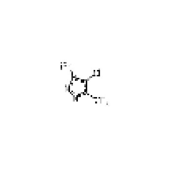 CC(C)n1nnc(C(F)(F)F)c1Cl